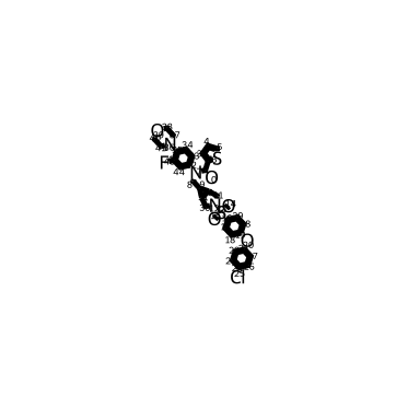 O=C(c1cccs1)N(CC1C2CN(S(=O)(=O)c3ccc(Oc4ccc(Cl)cc4)cc3)CC12)c1ccc(N2CCOCC2)c(F)c1